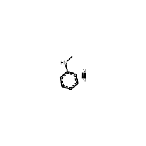 CNc1ccccc1.N#N